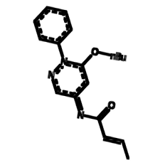 C/C=C/C(=O)/N=c1/cnn(-c2ccccc2)c(OCCCC)c1